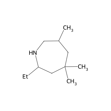 CCC1CC(C)(C)CC(C)CN1